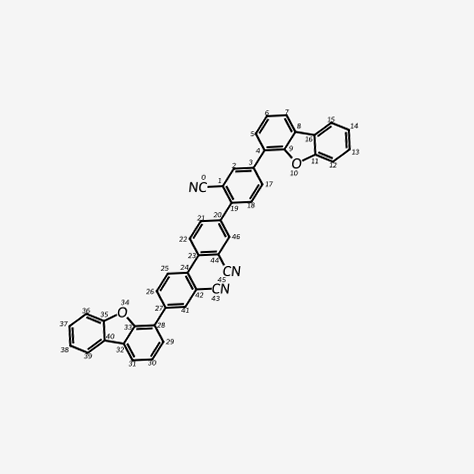 N#Cc1cc(-c2cccc3c2oc2ccccc23)ccc1-c1ccc(-c2ccc(-c3cccc4c3oc3ccccc34)cc2C#N)c(C#N)c1